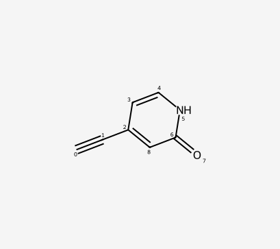 C#Cc1cc[nH]c(=O)c1